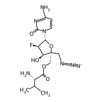 CC(C)[C@H](N)C(=O)OC[C@@]1(CN=[N+]=[N-])O[C@@H](n2ccc(N)nc2=O)[C@H](F)[C@@H]1O